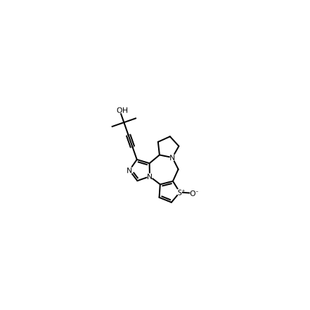 CC(C)(O)C#Cc1ncn2c1C1CCCN1Cc1c-2cc[s+]1[O-]